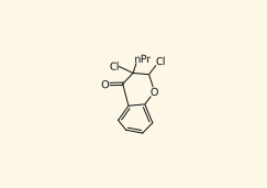 CCCC1(Cl)C(=O)c2ccccc2OC1Cl